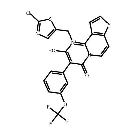 O=c1c(-c2cccc(OC(F)(F)F)c2)c(O)[n+](Cc2cnc(Cl)s2)c2c3ccsc3ccn12